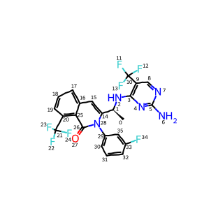 C[C@H](Nc1nc(N)ncc1C(F)(F)F)c1cc2cccc(C(F)(F)F)c2c(=O)n1-c1cccc(F)c1